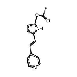 CC(=O)Oc1ccc(/C=C/c2ccncc2)[nH]1